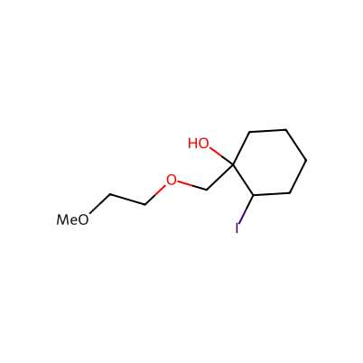 COCCOCC1(O)CCCCC1I